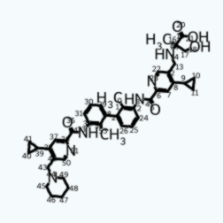 Cc1c(NC(=O)c2cc(C3CC3)c(CN[C@@](C)(CO)C(=O)O)cn2)cccc1-c1cccc(NC(=O)c2cc(C3CC3)c(CN3CCCCC3)cn2)c1C